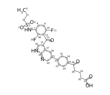 CCCS(=O)(=O)Nc1ccc(F)c(C(=O)c2c[nH]c3ncc(-c4ccc(C(=O)CCCC(=O)O)cc4)cc23)c1F